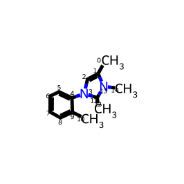 CC1=CN(c2ccccc2C)C(C)N1C